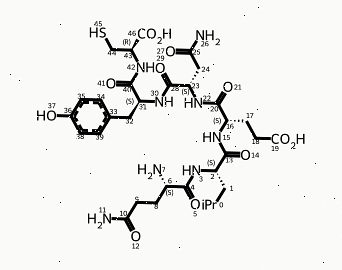 CC(C)C[C@H](NC(=O)[C@@H](N)CCC(N)=O)C(=O)N[C@@H](CCC(=O)O)C(=O)N[C@@H](CC(N)=O)C(=O)N[C@@H](Cc1ccc(O)cc1)C(=O)N[C@@H](CS)C(=O)O